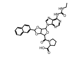 CCNC(=O)Nc1ncnc2c1ncn2C1OC(C(=O)N2CCCC2C(=O)O)C2OC(c3ccc4ccccc4c3)OC21